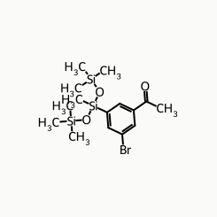 CC(=O)c1cc(Br)cc([Si](C)(O[Si](C)(C)C)O[Si](C)(C)C)c1